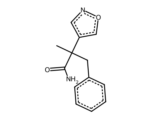 CC(Cc1ccccc1)(C(N)=O)c1cnoc1